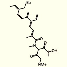 C=C/C(=C\C=C(/C)C(=O)N(C)C(C(=O)CNC)C(=O)NO)C(=C)/C=C\C(=C/C)CC(C)CC